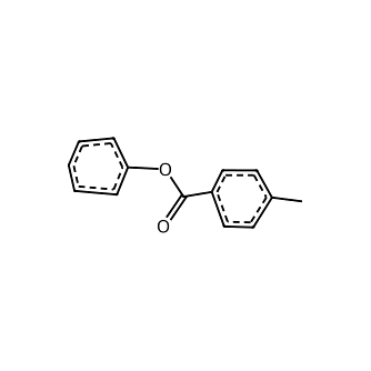 Cc1ccc(C(=O)Oc2ccccc2)cc1